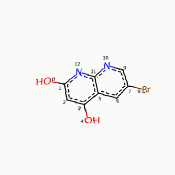 Oc1cc(O)c2cc(Br)cnc2n1